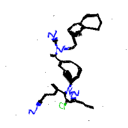 C=C(CCC#N)c1c(Cl)c(CC)nn1C1=CCC(C(C)N(C#N)Cc2ccc3c(c2)CCCC3)=CC=C1